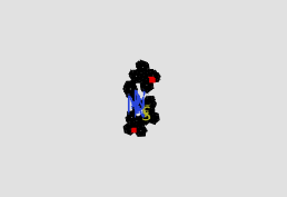 c1ccc(C2(c3ccccc3)c3ccccc3-c3ccc(-c4cccc(-c5nc(-c6cccc7c6-c6ccccc6C7(c6ccccc6)c6ccccc6)nc(-c6cccc7c6sc6ccccc67)n5)c4)cc32)cc1